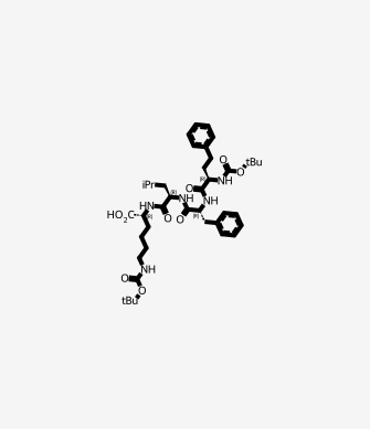 CC(C)C[C@@H](NC(=O)[C@@H](Cc1ccccc1)NC(=O)[C@@H](CCc1ccccc1)NC(=O)OC(C)(C)C)C(=O)N[C@H](CCCCNC(=O)OC(C)(C)C)C(=O)O